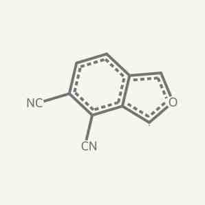 N#Cc1ccc2co[c]c2c1C#N